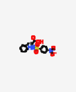 O=C(O)[C@@H](Cc1ccccc1)NS(=O)(=O)c1ccc([N+](=O)[O-])cc1